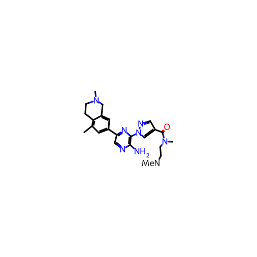 CNCCN(C)C(=O)c1cnn(-c2nc(-c3cc(C)c4c(c3)CN(C)CC4)cnc2N)c1